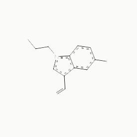 CCCn1cc(C=O)c2cc(F)ccc21